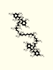 Cc1cc(C)c(C(=O)P(=O)(CCC(=O)OC(C)(C)CCOC(C)(C)CCCCCCC(C)(C)OCCC(C)(C)OC(=O)CCP(=O)(C(=O)c2c(C)cc(C)cc2C)C(=O)c2c(C)cc(C)cc2C)C(=O)c2c(C)cc(C)cc2C)c(C)c1